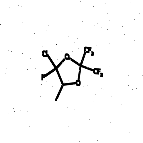 CC1OC(C(F)(F)F)(C(F)(F)F)OC1(F)Cl